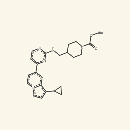 CC(C)(C)OC(=O)N1CCC(CNc2nccc(-c3ccn4ncc(C5CC5)c4n3)n2)CC1